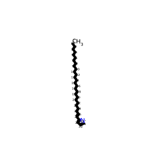 CCCCCCCCCCCCCCCCCCCCCCCCCCC=CC1=CC=C[N]1